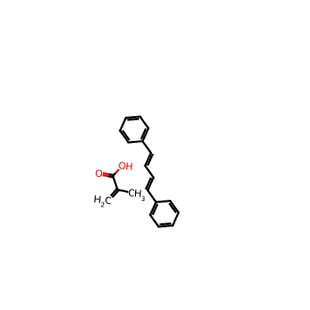 C(C=Cc1ccccc1)=Cc1ccccc1.C=C(C)C(=O)O